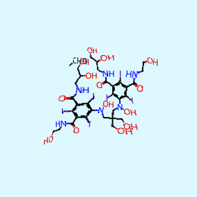 CC=O.O=C(NCCO)c1c(I)c(C(=O)NCC(O)CO)c(I)c(N(O)CC(CO)(CO)CN(O)c2c(I)c(C(=O)NCCO)c(I)c(C(=O)NCC(O)CO)c2I)c1I